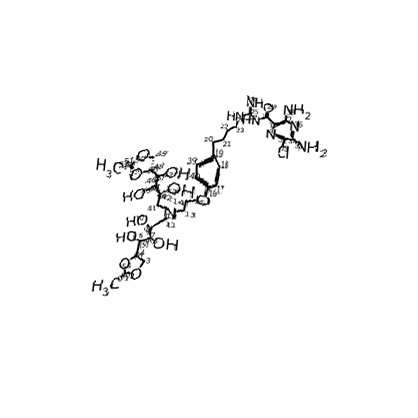 C[C@@H]1OC[C@H]([C@@H](O)[C@H](O)[C@@H](O)CN(CCOc2ccc(CCCCNC(=N)NC(=O)c3nc(Cl)c(N)nc3N)cc2)C[C@H](O)[C@@H](O)[C@H](O)[C@H]2CO[C@@H](C)O2)O1